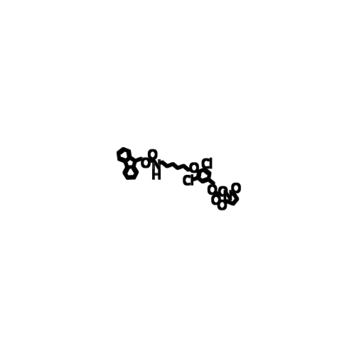 O=C(NCCCCCCOc1c(Cl)cc(COC(=O)ON2C(=O)CCC2=O)cc1Cl)OCC1c2ccccc2-c2ccccc21